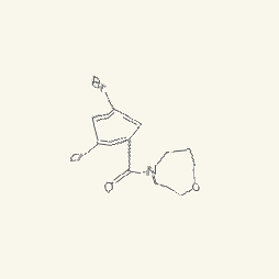 O=C(c1ccc(Br)cc1Cl)N1CCCOCC1